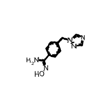 NC(=NO)c1ccc(Cn2cncn2)cc1